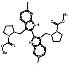 CC(C)(C)OC(=O)N1CCC[C@H]1Cc1c(-c2nc3cc(F)ccc3n2C[C@@H]2CCCN2C(=O)OC(C)(C)C)[nH]c2cc(F)ccc12